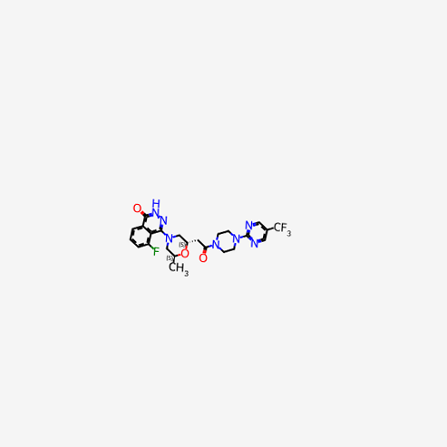 C[C@H]1CN(c2n[nH]c(=O)c3cccc(F)c23)C[C@H](CC(=O)N2CCN(c3ncc(C(F)(F)F)cn3)CC2)O1